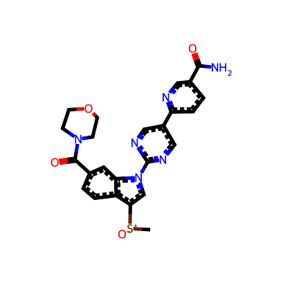 C[S+]([O-])c1cn(-c2ncc(-c3ccc(C(N)=O)cn3)cn2)c2cc(C(=O)N3CCOCC3)ccc12